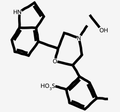 CO.Cc1ccc(S(=O)(=O)O)c(C2CN(C)CC(c3cccc4[nH]ccc34)O2)c1